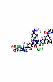 CNC(=O)c1ccc(C)c(-c2ccc(C[C@H](NC(=O)[C@H]3CC[C@H](CN)CC3)C(=O)Nc3ccc(-c4nnc(C(F)(F)C(F)(F)C(=O)O)[nH]4)cc3)cc2)c1.Cl